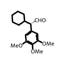 COc1cc([C@@H]([C]=O)C2CCCCC2)cc(OC)c1OC